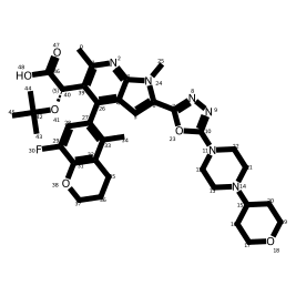 Cc1nc2c(cc(-c3nnc(N4CCN(C5CCOCC5)CC4)o3)n2C)c(-c2cc(F)c3c(c2C)CCCO3)c1[C@H](OC(C)(C)C)C(=O)O